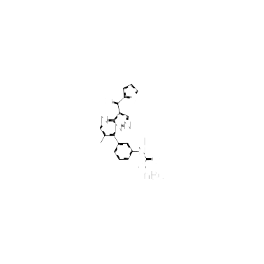 CCCCOC(=O)Nc1cccc(-c2c(C)cnc3c(C(=O)c4cccs4)cnn23)c1